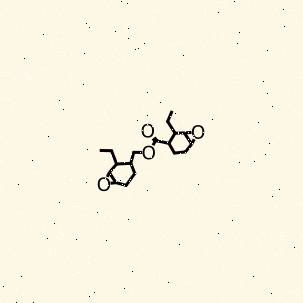 CCC1C(COC(=O)C2CCC3OC3C2CC)CCC2OC21